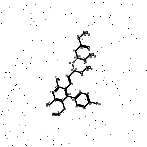 COCc1c(C(C)C)nc(C(C)C)c(C=C[C@H](C[C@H](CC(=O)O[N+](=O)[O-])O[N+](=O)[O-])O[N+](=O)[O-])c1-c1ccc(F)cc1